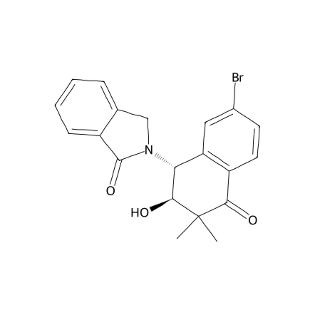 CC1(C)C(=O)c2ccc(Br)cc2[C@@H](N2Cc3ccccc3C2=O)[C@@H]1O